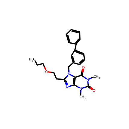 CCCOCCc1nc2c(c(=O)n(C)c(=O)n2C)n1Cc1cccc(-c2ccccc2)c1